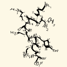 C=CC[C@H](NC(=O)[C@H](CCCCN)NC(=O)[C@H](CCCCN)NC(=O)[C@H](C)N)C(=O)N[C@@H](Cc1ccc(O)cc1)C(=O)N[C@@H](CC(C)C)C(=O)NC(C(=O)O)C(C)CC